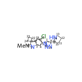 CNC1=Nc2cc(-n3cc([C@H]4CCCCN4)nn3)c(Cl)cc2C12CCC2